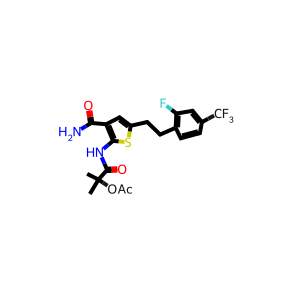 CC(=O)OC(C)(C)C(=O)Nc1sc(CCc2ccc(C(F)(F)F)cc2F)cc1C(N)=O